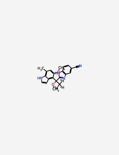 [2H]C([2H])([2H])C(OC)(c1nc2cc(C#N)ccc2[nH]1)c1c(OC)cc(C)c2[nH]ccc12